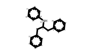 c1ccc(CC(Cc2ccccc2)Nc2ccccc2)cc1